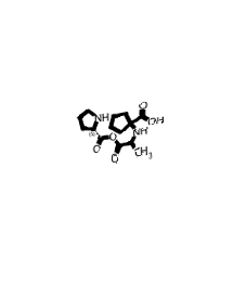 CC(NC1(C(=O)O)CCCC1)C(=O)OC(=O)[C@@H]1CCCN1